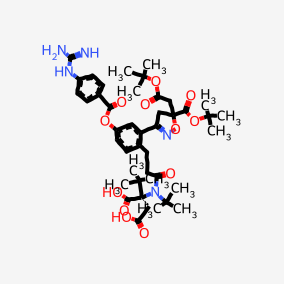 CC(C)(C)OC(=O)CC1(C(=O)OC(C)(C)C)CC(c2cc(OC(=O)c3ccc(NC(=N)N)cc3)ccc2CCC(=O)N(C(C)(C)C)[C@@](CC(=O)O)(C(=O)O)C(C)(C)C)=NO1